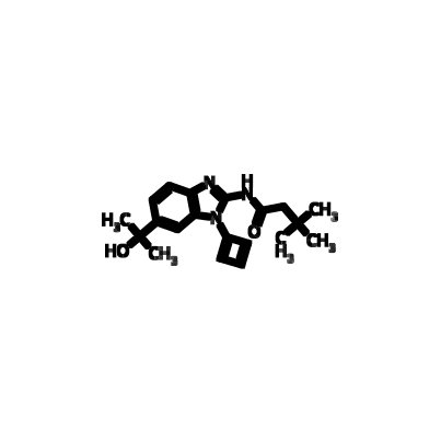 CC(C)(C)CC(=O)Nc1nc2ccc(C(C)(C)O)cc2n1C1=CC=C1